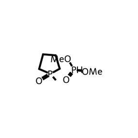 CO[PH](=O)OC.CP1(=O)CCCC1